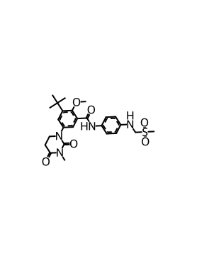 COc1c(C(=O)Nc2ccc(NCS(C)(=O)=O)cc2)cc(N2CCC(=O)N(C)C2=O)cc1C(C)(C)C